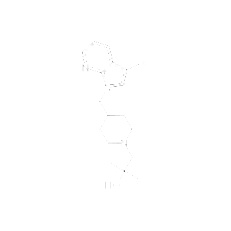 CC(C)(O)CN1CCC(Cn2cc(Br)c3cccnc32)CC1